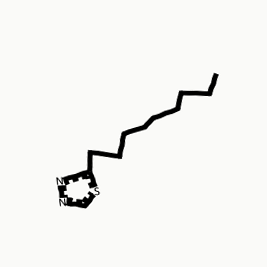 CCCCCCCCCc1nn[c]s1